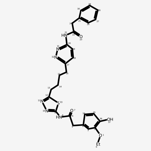 CCOc1cc(CC(=O)Nc2nnc(CCCCc3ccc(NC(=O)Cc4ccccc4)nn3)s2)ccc1O